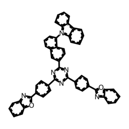 c1cc(-n2c3ccccc3c3ccccc32)c2ccc(-c3nc(-c4ccc(-c5nc6ccccc6o5)cc4)nc(-c4ccc(-c5nc6ccccc6o5)cc4)n3)cc2c1